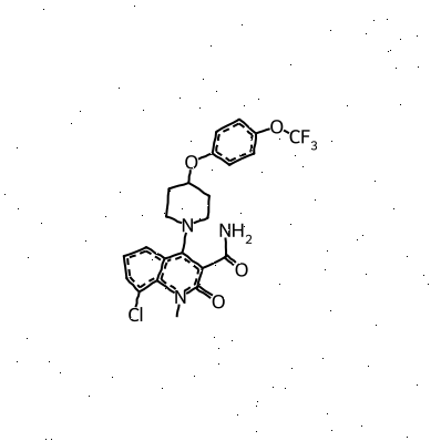 Cn1c(=O)c(C(N)=O)c(N2CCC(Oc3ccc(OC(F)(F)F)cc3)CC2)c2cccc(Cl)c21